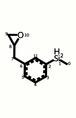 C[SiH2]c1cccc(CC2CO2)c1